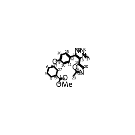 COC(=O)[C@H]1CCC[C@H](Oc2ccc(-c3nnn(C)c3-c3cnc(C)o3)cc2)C1